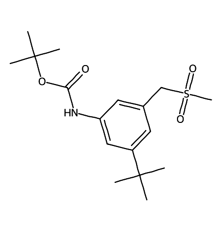 CC(C)(C)OC(=O)Nc1cc(CS(C)(=O)=O)cc(C(C)(C)C)c1